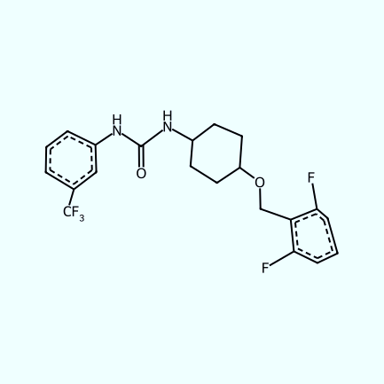 O=C(Nc1cccc(C(F)(F)F)c1)NC1CCC(OCc2c(F)cccc2F)CC1